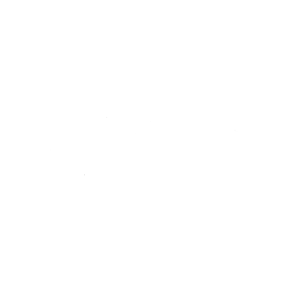 CC[C@@H](C)COc1ccc(S(=O)(=O)c2cc(Cl)c(OC[C@H](C)CCl)c(Cl)c2)cc1